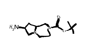 CC(C)(C)OC(=O)N1CCN2CC(N)CC2C1